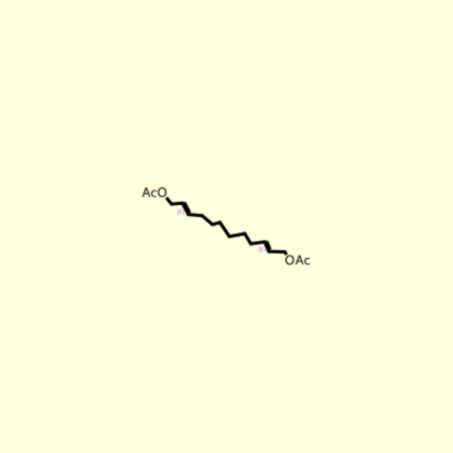 CC(=O)OC/C=C/CCCCCC/C=C/COC(C)=O